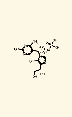 CC(=O)O.Cc1ncc(C[n+]2csc(CCO)c2C)c(N)n1.Cl.O=P(O)(O)O